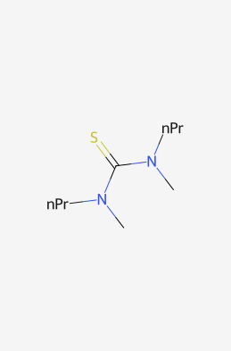 CCCN(C)C(=S)N(C)CCC